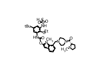 CCOc1c(NC(=O)Oc2cc3cccc(CN4CCN(C(=O)[C@@H]5CCCN5C)CC4)c3n2C)cc(C(C)(C)C)cc1NS(C)(=O)=O